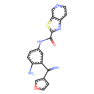 N=C(c1ccoc1)c1cc(NC(=O)c2nc3ccncc3s2)ccc1N